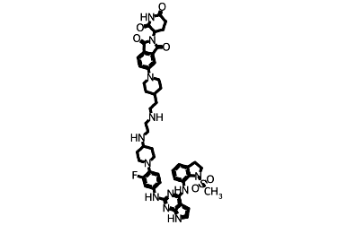 CS(=O)(=O)N1CCc2cccc(Nc3nc(Nc4ccc(N5CCC(NCCNCCC6CCN(c7ccc8c(c7)C(=O)N(C7CCC(=O)NC7=O)C8=O)CC6)CC5)c(F)c4)nc4[nH]ccc34)c21